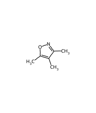 Cc1noc(C)c1C